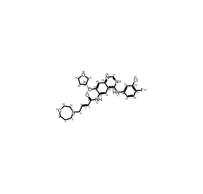 O=C(/C=C/CN1CCCOCC1)Nc1cc2c(Nc3ccc(F)c(Cl)c3)ncnc2cc1O[C@@H]1CCOC1